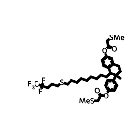 CSCC(=O)Oc1ccc(C2(C)CCc3cc(OC(=O)CSC)ccc3C2CCCCCCCCCSCCCC(F)(F)C(F)(F)F)cc1